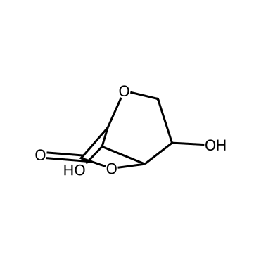 O=C1OC2C(O)COC1C2O